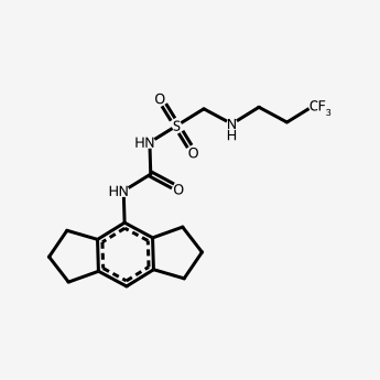 O=C(Nc1c2c(cc3c1CCC3)CCC2)NS(=O)(=O)CNCCC(F)(F)F